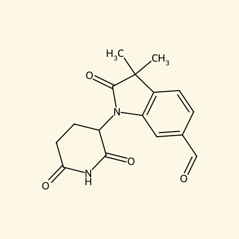 CC1(C)C(=O)N(C2CCC(=O)NC2=O)c2cc(C=O)ccc21